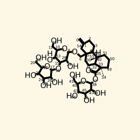 C=C1CC[C@@H]2C(COC3OC(CO)C(O)C(OC4OC(CO)C(O)C(O)C4O)C3O)(CCC3[C@](C)(C(=O)OC4OC(CO)C(O)C(O)C4O)CCC[C@]32C)C1